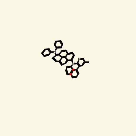 Cc1cnc(N(c2ccccc2)c2ccc3ccc4c(N(c5ccccc5)c5ccccc5)ccc5ccc2c3c54)c(-c2ccccc2)c1